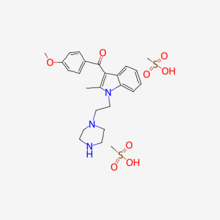 COc1ccc(C(=O)c2c(C)n(CCN3CCNCC3)c3ccccc23)cc1.CS(=O)(=O)O.CS(=O)(=O)O